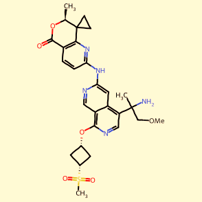 COCC(C)(N)c1cnc(O[C@H]2C[C@@H](S(C)(=O)=O)C2)c2cnc(Nc3ccc4c(n3)C3(CC3)[C@H](C)OC4=O)cc12